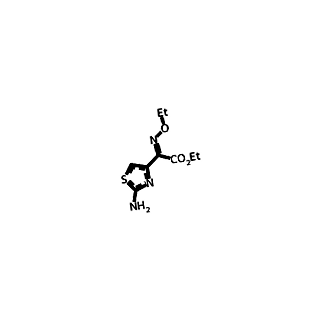 CCON=C(C(=O)OCC)c1csc(N)n1